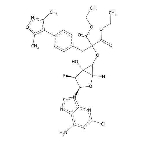 CCOC(=O)C(Cc1ccc(-c2c(C)noc2C)cc1)(OC1[C@H]2O[C@@H](n3cnc4c(N)nc(Cl)nc43)[C@@H](F)[C@@]12O)C(=O)OCC